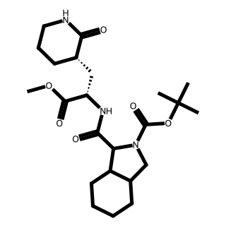 COC(=O)[C@H](C[C@@H]1CCCNC1=O)NC(=O)C1C2CCCCC2CN1C(=O)OC(C)(C)C